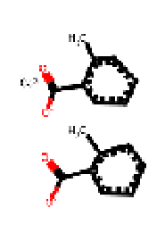 Cc1ccccc1C(=O)[O-].Cc1ccccc1C(=O)[O-].[Ca+2]